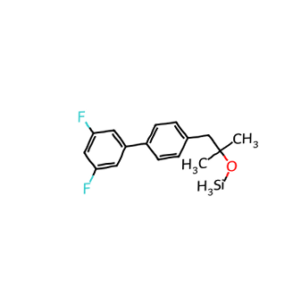 CC(C)(Cc1ccc(-c2cc(F)cc(F)c2)cc1)O[SiH3]